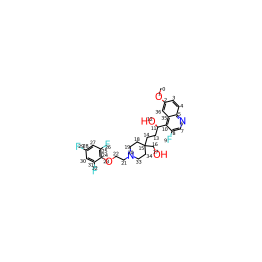 COc1ccc2ncc(F)c([C@H](O)CCC3(CO)CCN(CCOc4c(F)cc(F)cc4F)CC3)c2c1